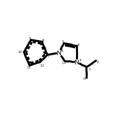 CC(C)N1C=CN(c2ccccc2)C1